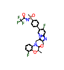 Cc1nc2cc(F)c(-c3ccc(S(C)(=O)=NC(=O)C(F)(F)F)cc3)cn2c1CN1C(=O)[C@@H](C)Oc2c(F)cccc21